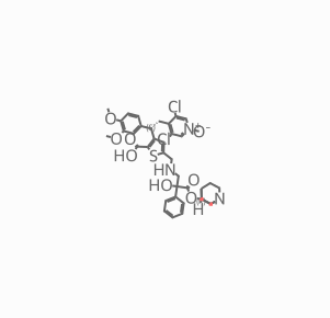 COc1ccc([C@H](Cc2c(Cl)c[n+]([O-])cc2Cl)c2cc(CNCC(O)(C(=O)O[C@H]3CN4CCC3CC4)c3ccccc3)sc2C(=O)O)cc1OC